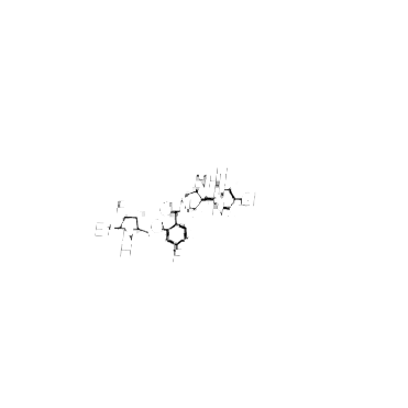 CCC1NC(COc2cc(F)ccc2C(=O)N2CC(=N)/C(=C3/N=CC(Cl)=CN3)C2)CC1F